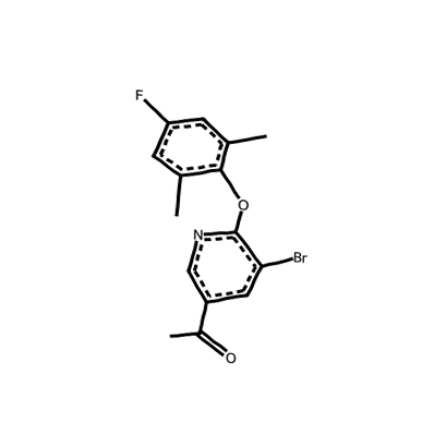 CC(=O)c1cnc(Oc2c(C)cc(F)cc2C)c(Br)c1